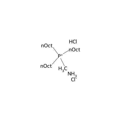 CCCCCCCC[P+](C)(CCCCCCCC)CCCCCCCC.Cl.N.[Cl-]